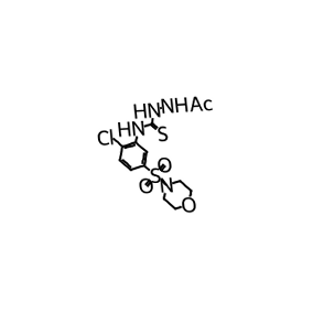 CC(=O)NNC(=S)Nc1cc(S(=O)(=O)N2CCOCC2)ccc1Cl